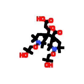 CC(C)(O)CON1C(C)(C)CC2C(C1(C)C)C2(CCC(=O)O)C1(C(=O)O)C2CC(C)(C)N(OCC(C)(C)O)C(C)(C)C21